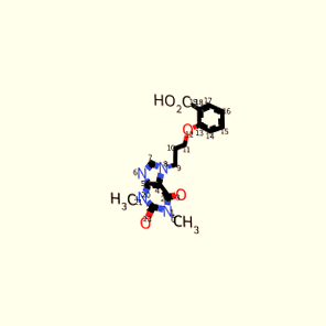 Cn1c(=O)c2c(ncn2CCCOc2ccccc2C(=O)O)n(C)c1=O